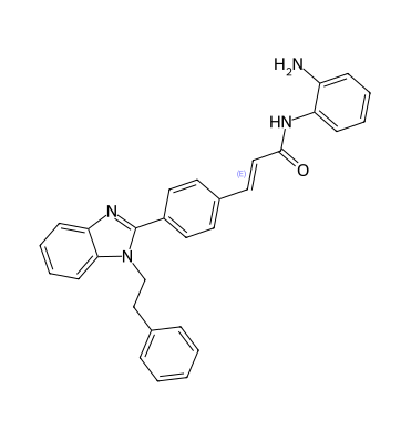 Nc1ccccc1NC(=O)/C=C/c1ccc(-c2nc3ccccc3n2CCc2ccccc2)cc1